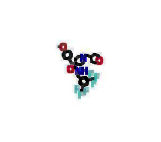 COc1ccc(CC2(C(=O)NCc3cc(C(F)(F)F)cc(C(F)(F)F)c3)CCN(CC3CCOCC3)CC2)cc1